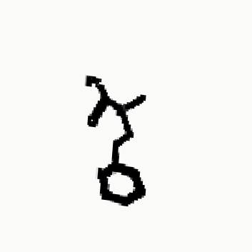 CC(C)C(=O)N(C)CCc1ccccn1